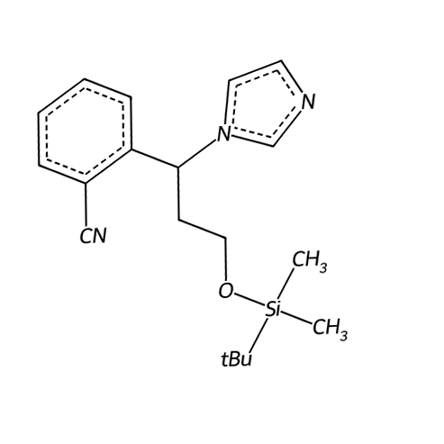 CC(C)(C)[Si](C)(C)OCCC(c1ccccc1C#N)n1ccnc1